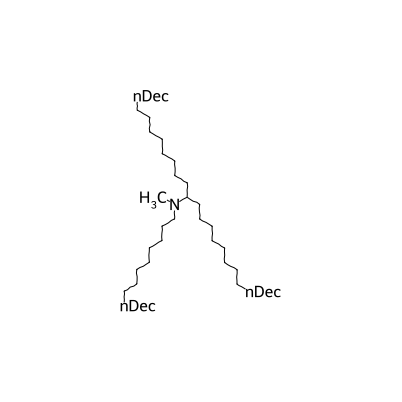 CCCCCCCCCCCCCCCCCCC(CCCCCCCCCCCCCCCCCC)N(C)CCCCCCCCCCCCCCCCCC